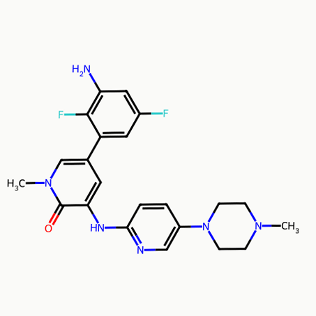 CN1CCN(c2ccc(Nc3cc(-c4cc(F)cc(N)c4F)cn(C)c3=O)nc2)CC1